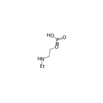 CCNCCO[PH](=O)O